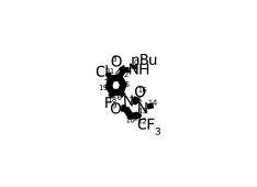 CCCCNC(=O)c1cc(-n2c(=O)cc(C(F)(F)F)n(C)c2=O)c(F)cc1Cl